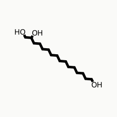 OCCCCCCCCCCCCCCC(O)CO